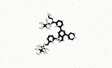 CCC[C@H](N[S@@+]([O-])C(C)(C)C)c1cccc(-c2cc(C3=CCOCC3)c3cnn(-c4cccc(CO[Si](C)(C)C(C)(C)C)n4)c3c2)n1